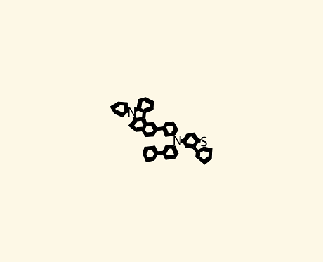 c1ccc(-c2cccc(N(c3cccc(-c4ccc5ccc6c(c5c4)c4ccccc4n6-c4ccccc4)c3)c3ccc4sc5ccccc5c4c3)c2)cc1